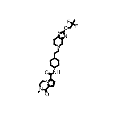 CN1CCn2c(C(=O)N[C@H]3CC[C@H](CCN4CCc5sc(OCC(C)(F)F)nc5C4)CC3)ccc2C1=O